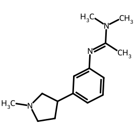 C/C(=N\c1cccc(C2CCN(C)C2)c1)N(C)C